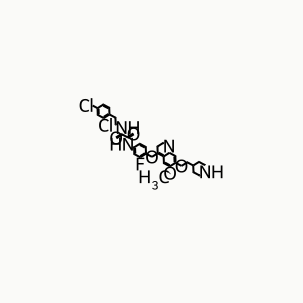 COc1cc2c(cc1OCC1CCNCC1)=NCCC=2Oc1ccc(NC(=O)C(=O)NCCc2ccc(Cl)cc2Cl)cc1F